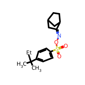 CCC(C)(C)c1ccc(S(=O)(=O)ON=C2CC3CCC2C3)cc1